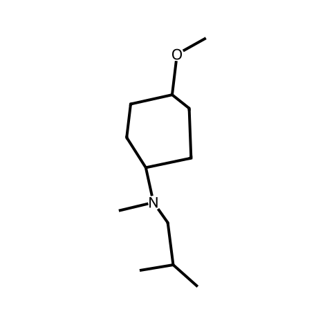 COC1CCC(N(C)CC(C)C)CC1